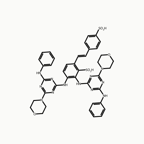 O=S(=O)(O)c1ccc(C=Cc2ccc(Nc3nc(Nc4ccccc4)nc(N4CCOCC4)n3)c(Nc3nc(Nc4ccccc4)nc(N4CCOCC4)n3)c2S(=O)(=O)O)cc1